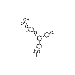 COc1ccc(-c2cc(COc3ccc(OCC(=O)O)c(C)c3)cc(-c3ccc(OC(F)(F)F)cc3)c2)cc1